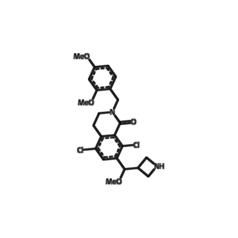 COc1ccc(CN2CCc3c(Cl)cc(C(OC)C4CNC4)c(Cl)c3C2=O)c(OC)c1